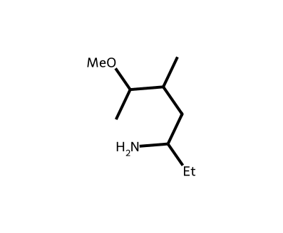 CCC(N)CC(C)C(C)OC